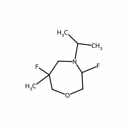 CC(C)N1CC(C)(F)COCC1F